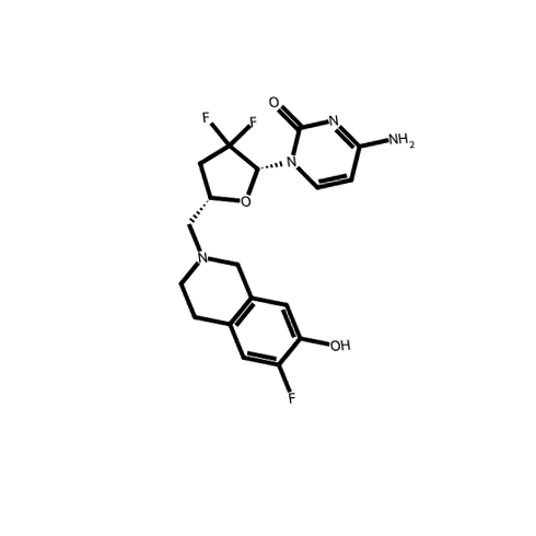 Nc1ccn([C@@H]2O[C@H](CN3CCc4cc(F)c(O)cc4C3)CC2(F)F)c(=O)n1